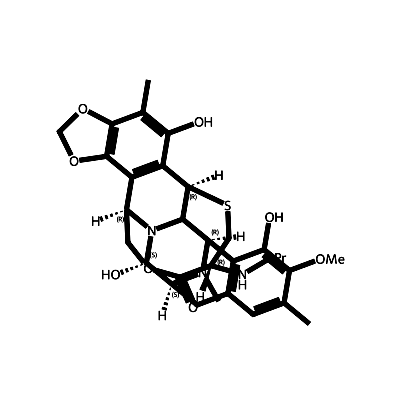 CCCN[C@H]1CS[C@@H]2c3c(O)c(C)c4c(c3[C@H](COC1=O)N1C2[C@H]2c3c(cc(C)c(OC)c3O)C[C@@H]([C@@H]1O)N2C)OCO4